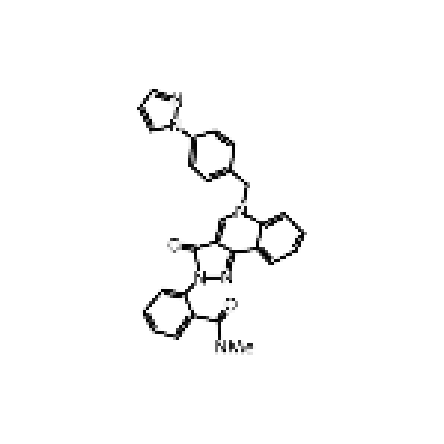 CNC(=O)c1ccccc1-n1nc2c3ccccc3n(Cc3ccc(-n4cccn4)cc3)cc-2c1=O